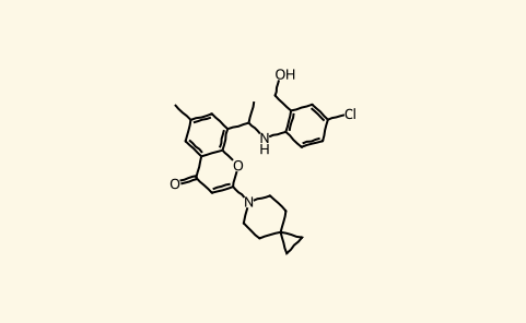 Cc1cc(C(C)Nc2ccc(Cl)cc2CO)c2oc(N3CCC4(CC3)CC4)cc(=O)c2c1